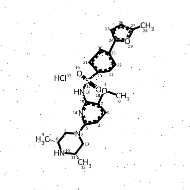 COc1ccc(N2C[C@@H](C)N[C@@H](C)C2)nc1NS(=O)(=O)c1ccc(-c2ccc(C)o2)cc1.Cl